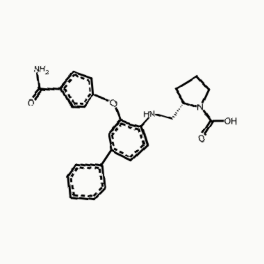 NC(=O)c1ccc(Oc2cc(-c3ccccc3)ccc2NC[C@@H]2CCCN2C(=O)O)cc1